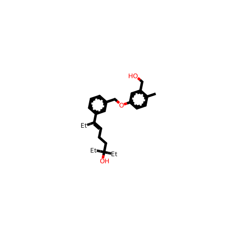 CCC(=CCCC(O)(CC)CC)c1cccc(COc2ccc(C)c(CO)c2)c1